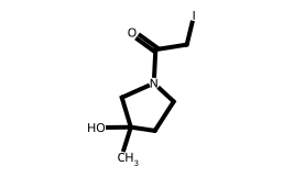 CC1(O)CCN(C(=O)CI)C1